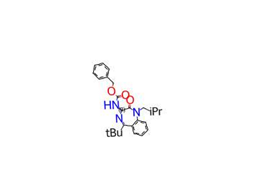 CC(C)CN1C(=O)[C@H](NC(=O)OCc2ccccc2)N=C(C(C)(C)C)c2ccccc21